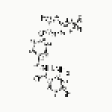 Nc1nc(F)ccc1C(=O)NCc1ccc(Oc2ccc(OC(F)(F)F)cc2F)cc1